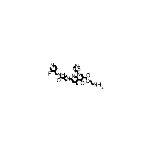 Cc1cc(N2CC(C(=O)NCc3ccncc3F)C2)nc2c1c(=O)c(C(=O)OCCN)cn2-c1ncns1